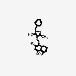 Cc1nn(Cc2ccccc2)c(O)c1N=Nc1c(O)cc(S(=O)(=O)O)c2ccccc12